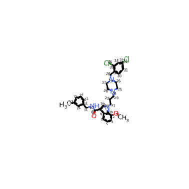 COc1cccc2c(C(=O)NCc3cccc(C)c3)cn(CCCN3CCN(Cc4ccc(Cl)cc4Cl)CC3)c12